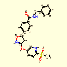 CS(=O)(=O)c1ccc(OC2=NO[C@H](c3ccc(C(=O)NCc4ccccc4)cc3)C2)cn1